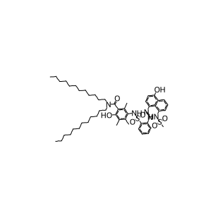 CCCCCCCCCCCCN(CCCCCCCCCCCC)C(=O)c1c(C)c(NS(=O)(=O)c2ccccc2/N=N/c2ccc(O)c3cccc(NS(C)(=O)=O)c23)c(C)c(C)c1O